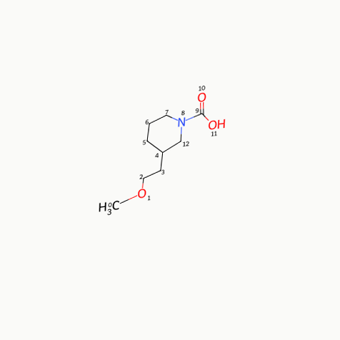 COCCC1CCCN(C(=O)O)C1